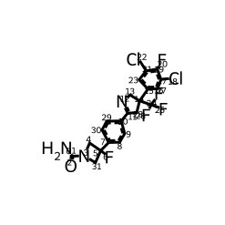 NC(=O)N1CC(F)(c2ccc(C3=NCC(c4cc(Cl)c(F)c(Cl)c4)(C(F)(F)F)C3)cc2)C1